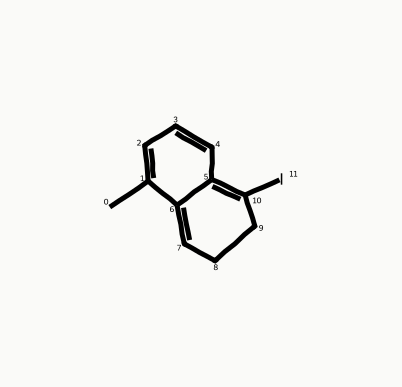 Cc1cccc2c1=CCCC=2I